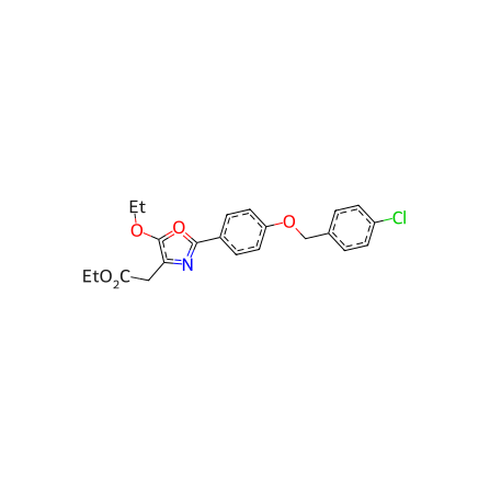 CCOC(=O)Cc1nc(-c2ccc(OCc3ccc(Cl)cc3)cc2)oc1OCC